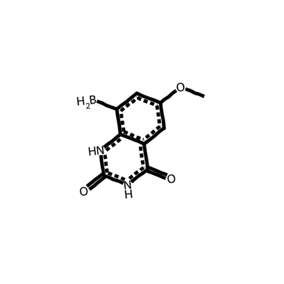 Bc1cc(OC)cc2c(=O)[nH]c(=O)[nH]c12